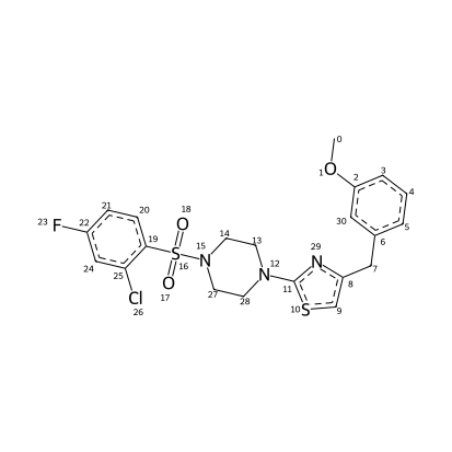 COc1cccc(Cc2csc(N3CCN(S(=O)(=O)c4ccc(F)cc4Cl)CC3)n2)c1